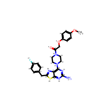 COc1ccc(OCC(=O)N2CCN(c3nc(N)nc4sc(Cc5ccc(F)cc5)nc34)CC2)cc1